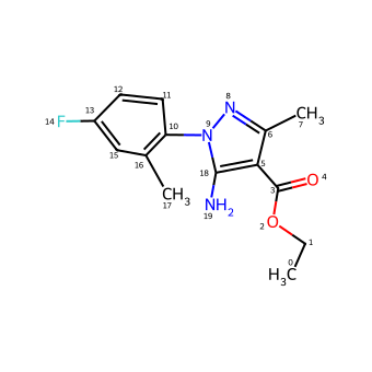 CCOC(=O)c1c(C)nn(-c2ccc(F)cc2C)c1N